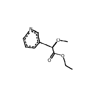 CCOC(=O)C(OC)c1cccnc1